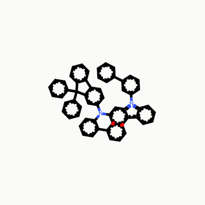 c1ccc(-c2cccc(-n3c4ccccc4c4ccc(N(c5ccc6c(c5)C(c5ccccc5)(c5ccccc5)c5ccccc5-6)c5ccccc5-c5ccccc5)cc43)c2)cc1